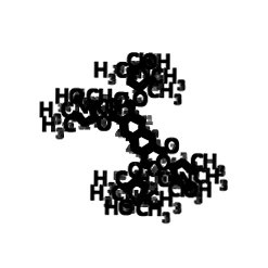 CC1(C)CC(OC(=O)c2cc3cc(C(=O)OC4CC(C)(C)N(O)C4(C)C)c(C(=O)OC4CC(C)(C)N(O)C4(C)C)cc3cc2C(=O)OC2CC(C)(C)N(O)C2(C)C)C(C)(C)N1O